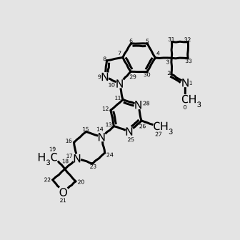 CN=CC1(c2ccc3cnn(-c4cc(N5CCN(C6(C)COC6)CC5)nc(C)n4)c3c2)CCC1